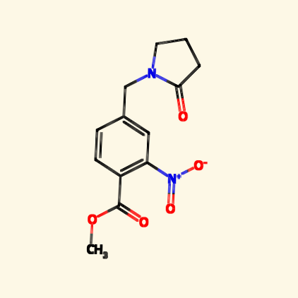 COC(=O)c1ccc(CN2CCCC2=O)cc1[N+](=O)[O-]